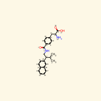 CC(C)C(CNC(=O)c1ccc(CC(N)C(=O)O)cc1)c1ccc2ccccc2c1